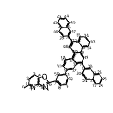 Cc1ccc2oc(-c3cccc(-c4ccc5c(c4)c(-c4ccc6ccccc6c4)cc4c6ccccc6c(-c6ccc7ccccc7c6)cc54)c3)nc2n1